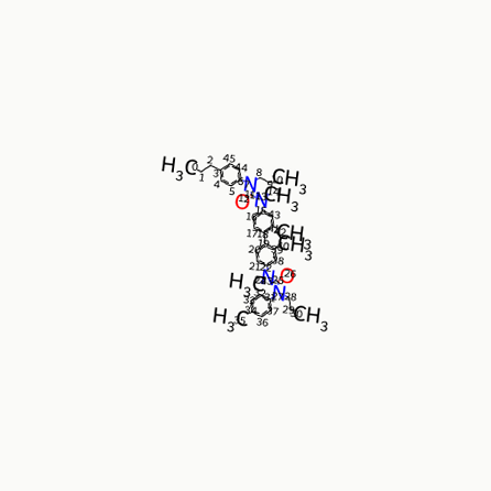 CCCc1ccc(N(CCC)C(=O)N(C)c2ccc(-c3ccc(N(C)C(=O)N(CCC)c4ccc(C)cc4)cc3C)c(C)c2)cc1